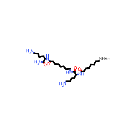 CC(=O)NCCCCCCCC(=O)NC(CCCCN)C(=O)NCCCCCCCC(=O)NC(CCCCN)C(N)=O